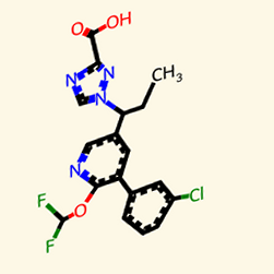 CCC(c1cnc(OC(F)F)c(-c2cccc(Cl)c2)c1)n1cnc(C(=O)O)n1